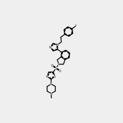 CN1CCN(c2ncc(S(=O)(=O)N3Cc4cccc(-c5cncn5CCc5ccc(F)cc5)c4C3)s2)CC1